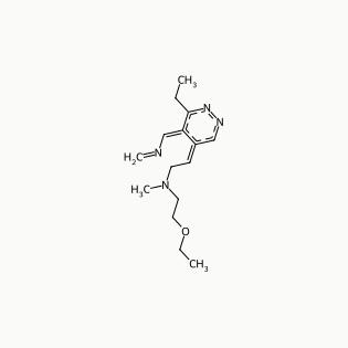 C=N/C=c1/c(CC)nnc/c1=C/CN(C)CCOCC